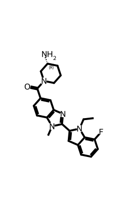 CCn1c(-c2nc3cc(C(=O)N4CCC[C@@H](N)C4)ccc3n2C)cc2cccc(F)c21